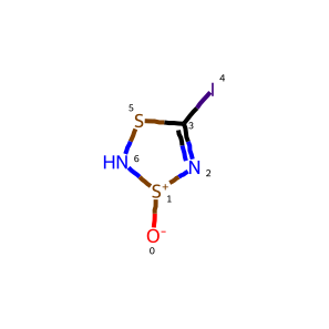 [O-][S+]1N=C(I)SN1